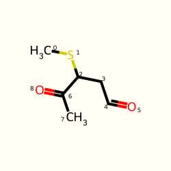 CSC(CC=O)C(C)=O